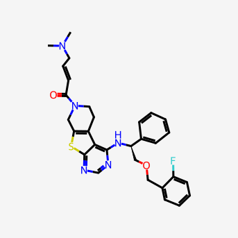 CN(C)C/C=C/C(=O)N1CCc2c(sc3ncnc(N[C@H](COCc4ccccc4F)c4ccccc4)c23)C1